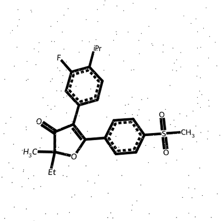 CCC1(C)OC(c2ccc(S(C)(=O)=O)cc2)=C(c2ccc(C(C)C)c(F)c2)C1=O